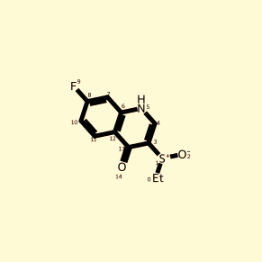 CC[S+]([O-])c1c[nH]c2cc(F)ccc2c1=O